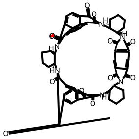 O=C1c2ccc3c4c5ccc(c24)C(=O)N1[C@H]1CCCCC1n1c(=O)c2cc4c(=O)n(c(=O)c4cc2c1=O)[C@H]1CCCC[C@@H]1N1C(=O)c2ccc4c6c(ccc(c26)C1=O)C(=O)N(C4=O)[C@H]1CCCC[C@@H]1N(C3=O)C5=O